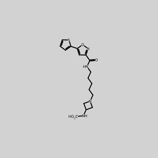 O=C(O)NC1CN(CCCCCNC(=O)c2cc(-c3cccs3)on2)C1